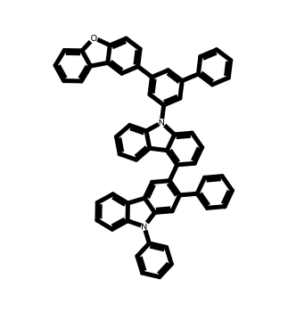 c1ccc(-c2cc(-c3ccc4oc5ccccc5c4c3)cc(-n3c4ccccc4c4c(-c5cc6c7ccccc7n(-c7ccccc7)c6cc5-c5ccccc5)cccc43)c2)cc1